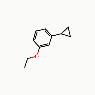 CCOc1c[c]cc(C2CC2)c1